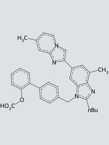 CCCCc1nc2c(C)cc(-c3cn4ccc(C)cc4n3)cc2n1Cc1ccc(-c2ccccc2OC(=O)O)cc1